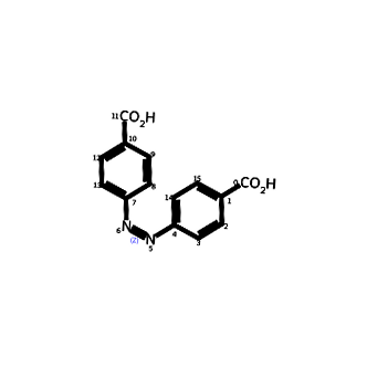 O=C(O)c1ccc(/N=N\c2ccc(C(=O)O)cc2)cc1